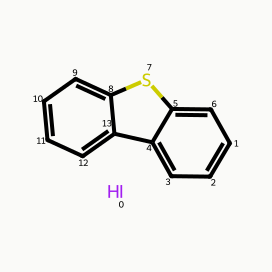 I.c1ccc2c(c1)sc1ccccc12